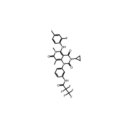 Cc1c(=O)n(C)c(Nc2ccc(I)cc2F)c2c(=O)n(C3CC3)c(=O)n(-c3cccc(NC(=O)C(F)(F)C(F)(F)F)c3)c12